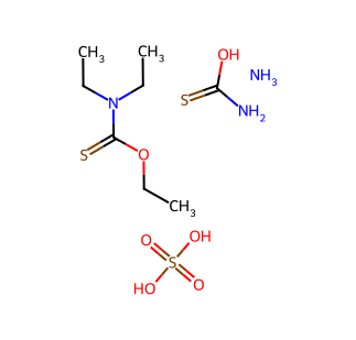 CCOC(=S)N(CC)CC.N.NC(O)=S.O=S(=O)(O)O